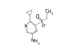 CCS(=O)(=O)c1cc(N)cnc1C1CC1